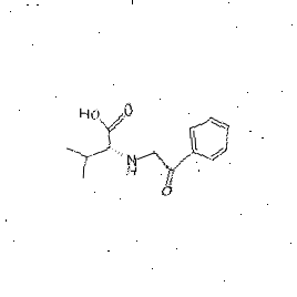 CC(C)[C@@H](NCC(=O)c1ccccc1)C(=O)O